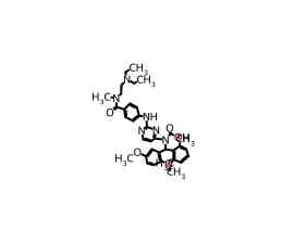 CCN(CC)CCN(C)C(=O)c1ccc(Nc2nccc(N(C(=O)O)C(c3cc(OC)ccc3OC)c3c(C)cccc3C)n2)cc1